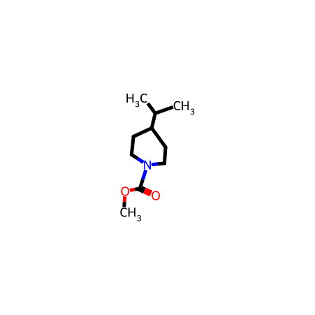 COC(=O)N1CCC(C(C)C)CC1